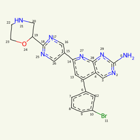 Nc1ncc2c(-c3cccc(Br)c3)cc(-c3cnc(C4CNCCO4)nc3)nc2n1